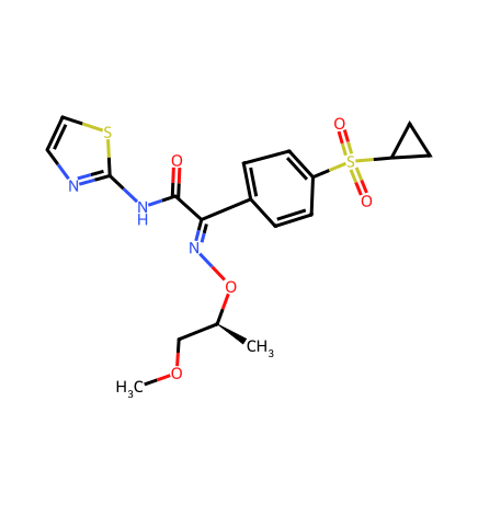 COC[C@H](C)O/N=C(/C(=O)Nc1nccs1)c1ccc(S(=O)(=O)C2CC2)cc1